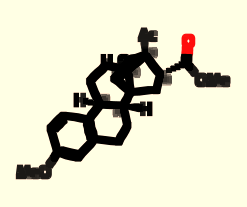 COC(=O)[C@@H]1CC23C=C[C@@]1(C(C)=O)[C@@]2(C)CC[C@@H]1c2ccc(OC)cc2CC[C@H]13